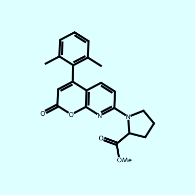 COC(=O)C1CCCN1c1ccc2c(-c3c(C)cccc3C)cc(=O)oc2n1